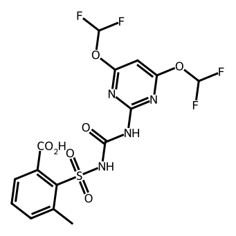 Cc1cccc(C(=O)O)c1S(=O)(=O)NC(=O)Nc1nc(OC(F)F)cc(OC(F)F)n1